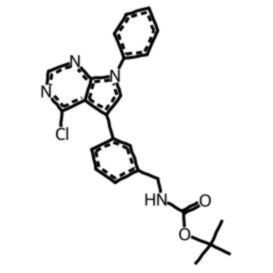 CC(C)(C)OC(=O)NCc1cccc(-c2cn(-c3ccccc3)c3ncnc(Cl)c23)c1